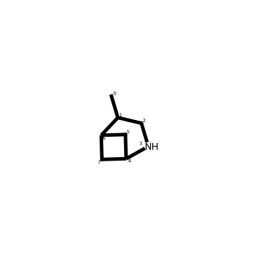 CC1CNC2CC1C2